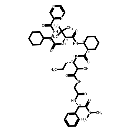 CCC[C@H](NC(=O)[C@@H]1CCCC[C@@H]1NC(=O)[C@@H](NC(=O)[C@@H](NC(=O)c1cnccn1)C1CCCCC1)C(C)(C)C)C(O)C(=O)NCC(=O)N[C@H](C(=O)N(C)C)c1ccccc1